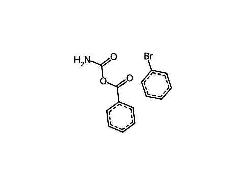 Brc1ccccc1.NC(=O)OC(=O)c1ccccc1